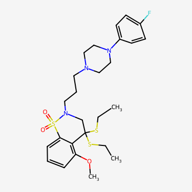 CCSC1(SCC)CN(CCCN2CCN(c3ccc(F)cc3)CC2)S(=O)(=O)c2cccc(OC)c21